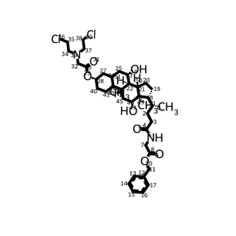 C[C@H](CCC(=O)NCC(=O)OCc1ccccc1)[C@H]1CC[C@H]2[C@@H]3[C@H](O)CC4C[C@H](OC(=O)CN(CCCl)CCCl)CC[C@]4(C)[C@H]3C[C@H](O)[C@]12C